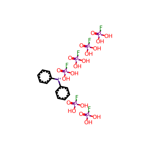 O=P(O)(O)F.O=P(O)(O)F.O=P(O)(O)F.O=P(O)(O)F.O=P(O)(O)F.O=P(O)(O)F.c1ccc([I+]c2ccccc2)cc1